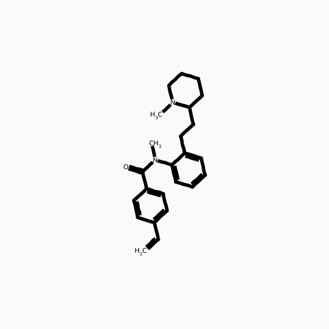 C=Cc1ccc(C(=O)N(C)c2ccccc2CCC2CCCCN2C)cc1